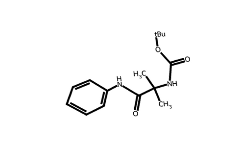 CC(C)(C)OC(=O)NC(C)(C)C(=O)Nc1ccccc1